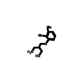 CC(C)(C)c1cccc(OCC(CN)CO)c1C(C)(C)C